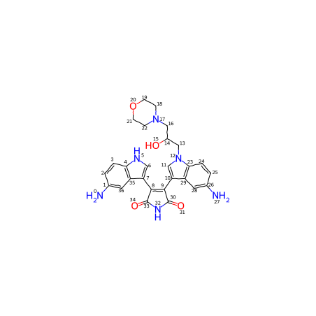 Nc1ccc2[nH]cc(C3=C(c4cn(CC(O)CN5CCOCC5)c5ccc(N)cc45)C(=O)NC3=O)c2c1